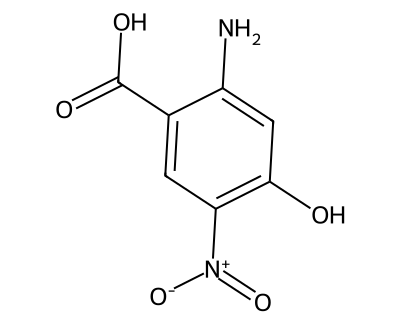 Nc1cc(O)c([N+](=O)[O-])cc1C(=O)O